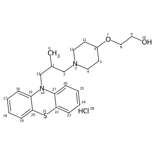 CC(CN1CCC(OCCO)CC1)CN1c2ccccc2Sc2ccccc21.Cl